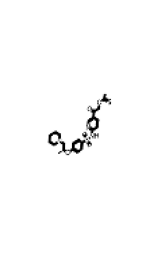 CC(=S)OCC(=O)c1ccc(NS(=O)(=O)c2ccc(O[C@@H](C)CN3CCCCC3)cc2)nc1